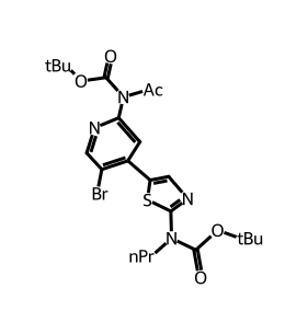 CCCN(C(=O)OC(C)(C)C)c1ncc(-c2cc(N(C(C)=O)C(=O)OC(C)(C)C)ncc2Br)s1